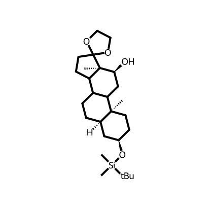 CC(C)(C)[Si](C)(C)O[C@@H]1CC[C@]2(C)C3C[C@H](O)[C@@]4(C)C(CCC45OCCO5)C3CC[C@@H]2C1